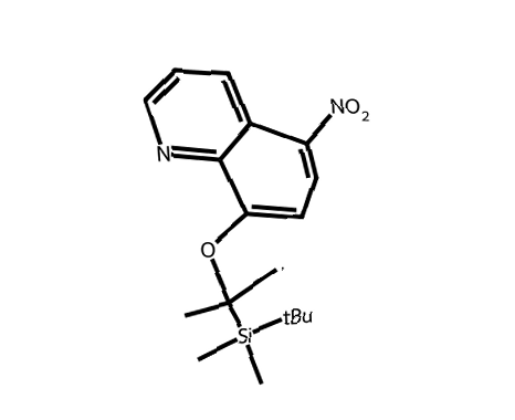 [CH2]C(C)(Oc1ccc([N+](=O)[O-])c2cccnc12)[Si](C)(C)C(C)(C)C